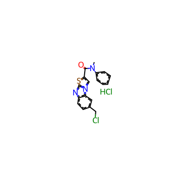 CN(C(=O)c1cn2c(nc3ccc(CCl)cc32)s1)c1ccccc1.Cl